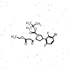 CCOC(=O)CC(=O)[C@H]1C[C@H](c2c(F)ccc(Br)c2F)CN1C(=O)OC(C)(C)C